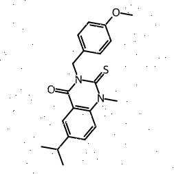 COc1ccc(Cn2c(=O)c3cc(C(C)C)ccc3n(C)c2=S)cc1